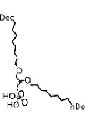 CCCCCCCCCCCCCCCCC=COC[C@H](COP(=O)(O)O)OC=CCCCCCCCCCCCCCCCC